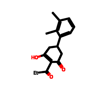 CCC(=O)C1=C(O)CC(c2cccc(C)c2C)CC1=O